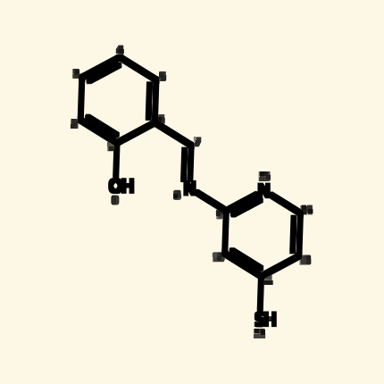 Oc1ccccc1C=Nc1cc(S)ccn1